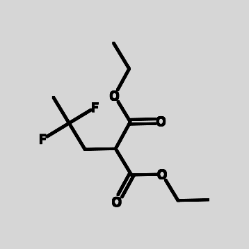 CCOC(=O)C(CC(C)(F)F)C(=O)OCC